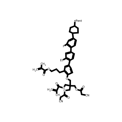 C=C(C)C(=O)OCCCc1cc(-c2ccc(-c3ccc(C4CCC(CCCCC)CC4)cc3F)cc2CC)ccc1OCC(COC(=O)CC#N)(COC(=O)CC#N)COC(=O)C(=C)C